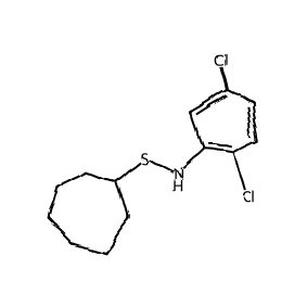 Clc1ccc(Cl)c(NSC2CCCCCC2)c1